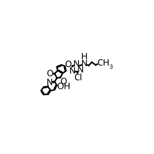 CCCCNc1nc(Cl)nc(Oc2ccc3c(c2)C(=O)C(c2nc4ccccc4cc2O)C3=O)n1